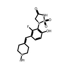 CCCN1CCC(=Cc2ccc(O)c(N3CC(=O)NS3(=O)=O)c2F)CC1